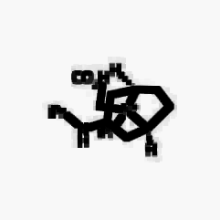 CC(C)NC1C[C@H]2CC[C@@H](C1)[N+]2(CC(=O)O)C(C)C